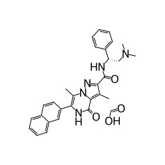 Cc1c(C(=O)N[C@@H](CN(C)C)c2ccccc2)nn2c(C)c(-c3ccc4ccccc4c3)[nH]c(=O)c12.O=CO